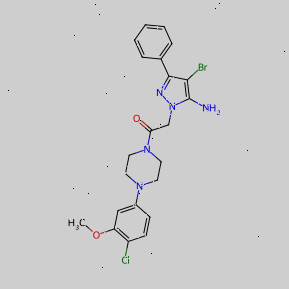 COc1cc(N2CCN(C(=O)Cn3nc(-c4ccccc4)c(Br)c3N)CC2)ccc1Cl